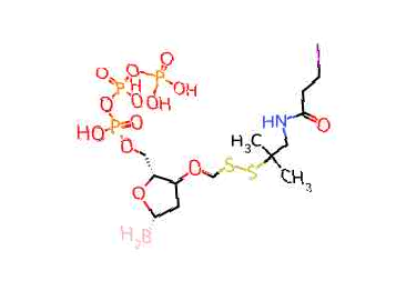 B[C@H]1CC(OCSSC(C)(C)CNC(=O)CCI)[C@@H](COP(=O)(O)OP(=O)(O)OP(=O)(O)O)O1